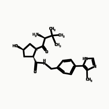 Cc1nc[nH]c1-c1ccc(CNC(=O)[C@@H]2C[C@@H](O)CN2C(=O)[C@@H](N)C(C)(C)C)cc1